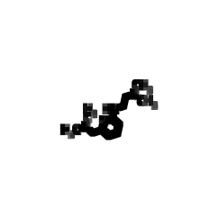 CN(C)CCNc1cccc(CN(C)C)n1